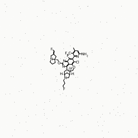 Cc1cc(N)nc(-c2c(Cl)c3c4c(nc(OC[C@@]56CCCN5C/C(=C\F)C6)nc4c2F)N2C[C@H]4C[C@H](CN4CCCF)[C@H]2CO3)c1C(F)(F)F